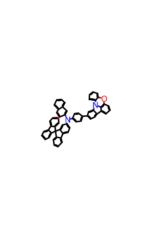 c1ccc2c(c1)Oc1cccc3c4ccc(-c5ccc(N(c6ccc7c(c6)C6(c8ccccc8-c8ccccc86)c6ccccc6-7)c6ccc7ccccc7c6)cc5)cc4n-2c13